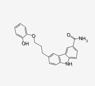 NC(=O)c1ccc2[nH]c3ccc(CCCOc4ccccc4O)cc3c2c1